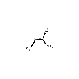 CCCC[C@H](N)C(C)=O